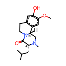 COc1cc2c(cc1O)CCN1C(=O)[C@@H](CC(C)C)N(C)C[C@@H]21